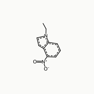 CCn1ccc2c([N+](=O)[O-])cccc21